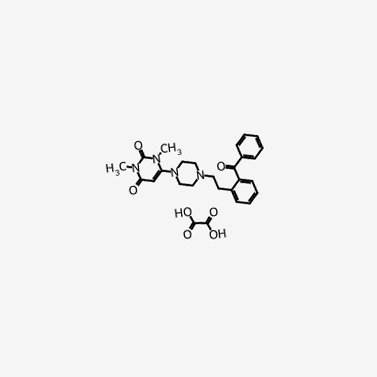 Cn1c(N2CCN(CCc3ccccc3C(=O)c3ccccc3)CC2)cc(=O)n(C)c1=O.O=C(O)C(=O)O